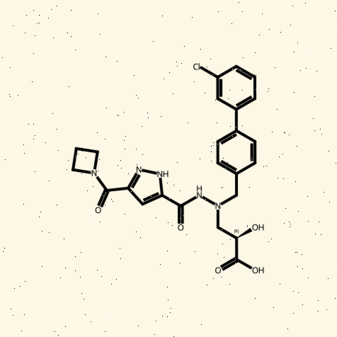 O=C(NN(Cc1ccc(-c2cccc(Cl)c2)cc1)C[C@@H](O)C(=O)O)c1cc(C(=O)N2CCC2)n[nH]1